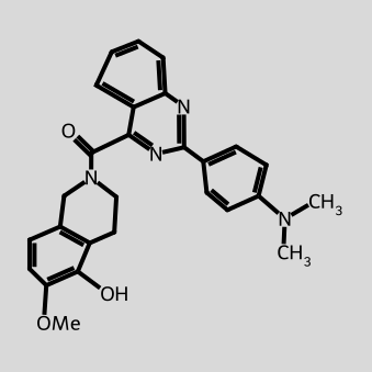 COc1ccc2c(c1O)CCN(C(=O)c1nc(-c3ccc(N(C)C)cc3)nc3ccccc13)C2